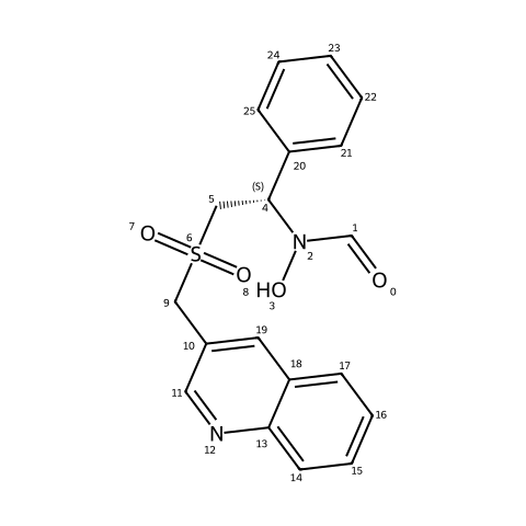 O=CN(O)[C@H](CS(=O)(=O)Cc1cnc2ccccc2c1)c1ccccc1